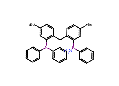 CC(C)(C)c1ccc(Cc2ccc(C(C)(C)C)cc2P(c2ccccc2)c2ccccc2)c(P(N)c2ccccc2)c1